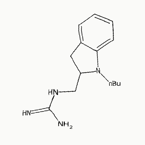 CCCCN1c2ccccc2CC1CNC(=N)N